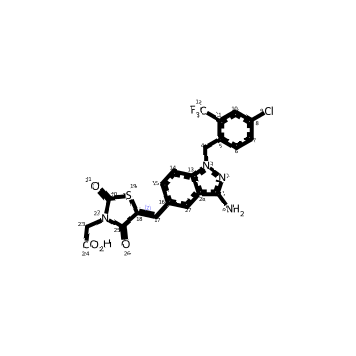 Nc1nn(Cc2ccc(Cl)cc2C(F)(F)F)c2ccc(/C=C3\SC(=O)N(CC(=O)O)C3=O)cc12